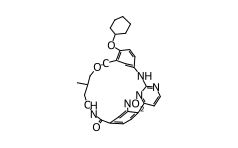 CC1CCNC(=O)c2ccc(c([N+](=O)[O-])c2)-c2ccnc(n2)Nc2ccc(OC3CCCCC3)c(c2)COC1